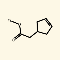 CCOC(=O)CC1CC=CC1